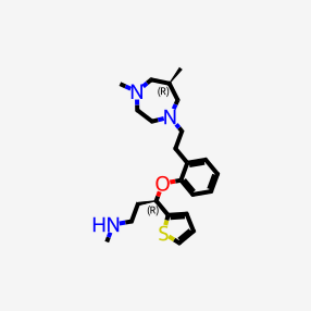 CNCC[C@@H](Oc1ccccc1CCN1CCN(C)C[C@@H](C)C1)c1cccs1